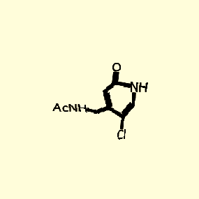 CC(=O)NCc1cc(=O)[nH]cc1Cl